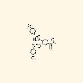 COc1ccc(N(C)C(=O)c2nc(-c3ccc(C(C)(C)C)cc3)oc2-c2ccc(NC(C)=O)cc2)cc1